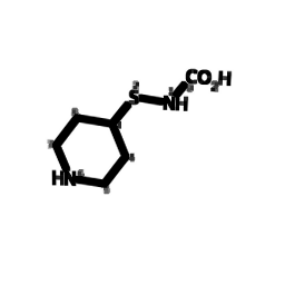 O=C(O)NSC1CCNCC1